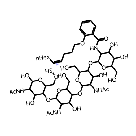 CCCCCC/C=C\CCCOc1ccccc1C(=O)NC1C(OC2C(CO)OC(OC3C(CO)OC(OC4C(COS)OC(O)C(NC(C)=O)C4O)C(NC(C)=O)C3O)C(NC(C)=O)C2O)OC(CO)C(O)C1O